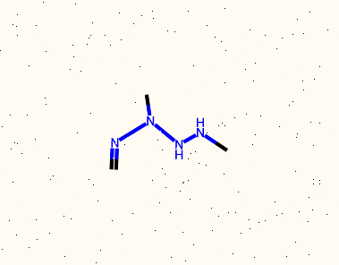 C=NN(C)NNC